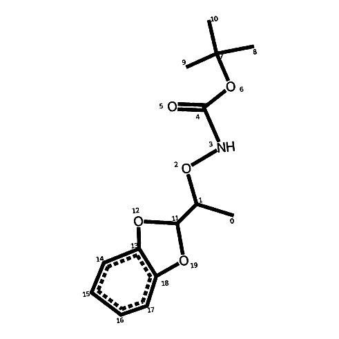 CC(ONC(=O)OC(C)(C)C)C1Oc2ccccc2O1